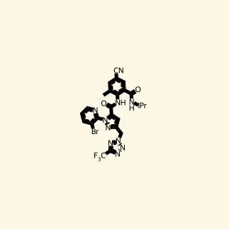 Cc1cc(C#N)cc(C(=O)NC(C)C)c1NC(=O)c1cc(Cn2nnc(C(F)(F)F)n2)nn1-c1ncccc1Br